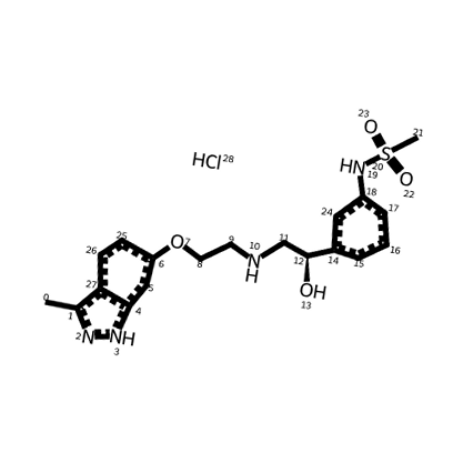 Cc1n[nH]c2cc(OCCNC[C@H](O)c3cccc(NS(C)(=O)=O)c3)ccc12.Cl